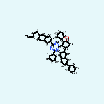 C/C=C\C=C/c1ccc2cc(-c3nc(-c4ccccc4)nc(-c4c(-c5ccc6ccc(C7=CCCC=C7)cc6c5)ccc5oc6ccccc6c45)n3)ccc2c1